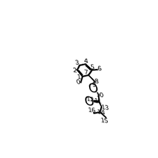 CC1=CCC=C(C)C1COCC(=O)CC(C)C